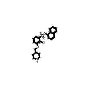 O=S(=O)(Oc1cccc2ccccc12)c1cccc(OCC2CCNCC2)c1Cl